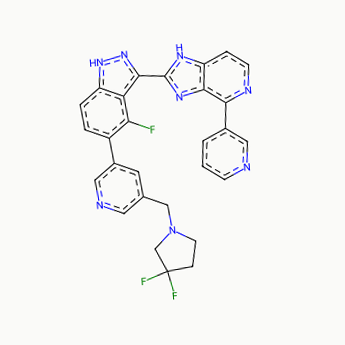 Fc1c(-c2cncc(CN3CCC(F)(F)C3)c2)ccc2[nH]nc(-c3nc4c(-c5cccnc5)nccc4[nH]3)c12